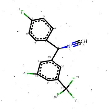 C#[N+][C@H](c1ccc(F)cc1)c1cc(F)cc(C(F)(F)F)c1